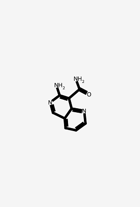 NC(=O)c1c(N)ncc2cccnc12